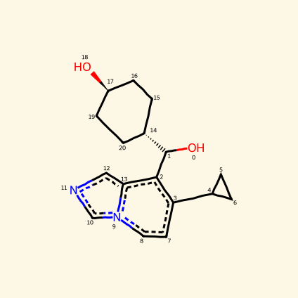 OC(c1c(C2CC2)ccn2cncc12)[C@H]1CC[C@H](O)CC1